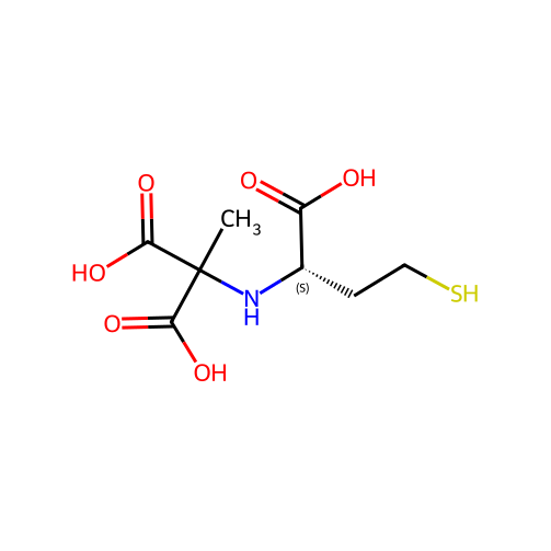 CC(N[C@@H](CCS)C(=O)O)(C(=O)O)C(=O)O